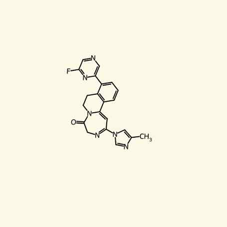 Cc1cn(C2=NCC(=O)N3CCc4c(cccc4-c4cncc(F)n4)C3=C2)cn1